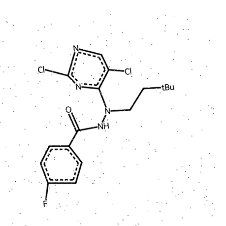 CC(C)(C)CCN(NC(=O)c1ccc(F)cc1)c1nc(Cl)ncc1Cl